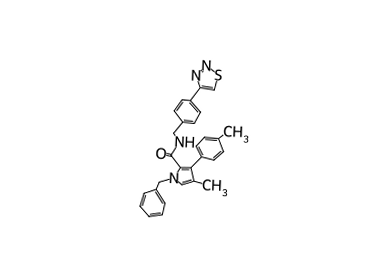 Cc1ccc(-c2c(C)cn(Cc3ccccc3)c2C(=O)NCc2ccc(-c3csnn3)cc2)cc1